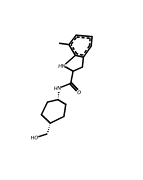 Cc1cccc2c1NC(C(=O)N[C@H]1CC[C@@H](CO)CC1)C2